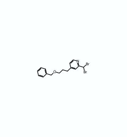 BrC(Br)c1cc(CCCOCc2ccccc2)ccn1